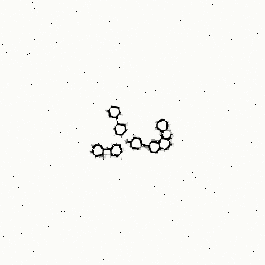 c1ccc(-c2ccc(N(c3ccc(-c4ccc5ccc6sc7ccccc7c6c5c4)cc3)c3ccc4oc5ccccc5c4c3)cc2)cc1